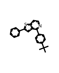 CC(C)(C)c1ccc(-c2nccc3sc(-c4ccccc4)cc23)cc1